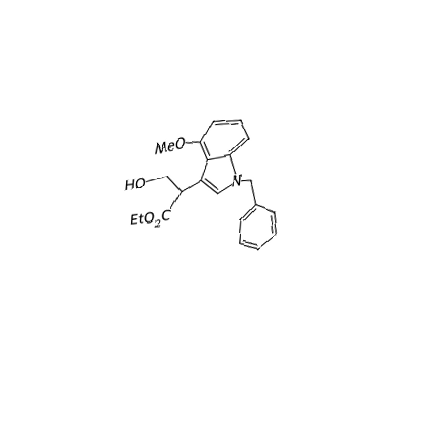 CCOC(=O)C(CO)c1cn(Cc2ccccc2)c2cccc(OC)c12